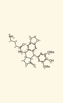 COc1cc(C2c3cc4c(cc3C(NC(=O)CCCN)C3COC(=O)C23)OCO4)cc(OC)c1O